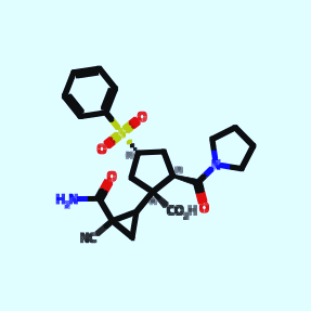 N#CC1(C(N)=O)CC1[C@]1(C(=O)O)C[C@H](S(=O)(=O)c2ccccc2)C[C@H]1C(=O)N1CCCC1